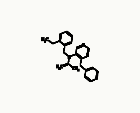 C=C(C)N(Cc1ccccc1CC)c1cnccc1Cc1ccccc1